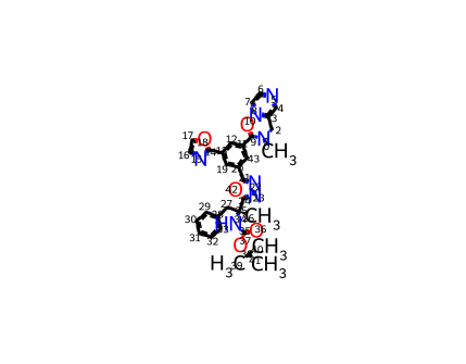 CN(Cc1cnccn1)C(=O)c1cc(-c2ncco2)cc(-c2nnc([C@@](C)(Cc3ccccc3)NC(=O)OC(C)(C)C)o2)c1